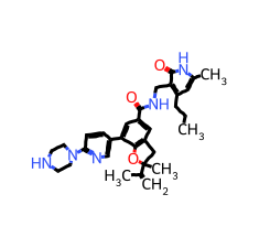 C=C(C)C1(C)Cc2cc(C(=O)NCc3c(CCC)cc(C)[nH]c3=O)cc(-c3ccc(N4CCNCC4)nc3)c2O1